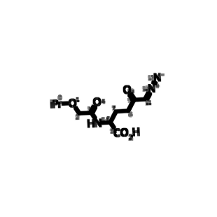 CC(C)OCC(=O)NC(CCC(=O)C=[N+]=[N-])C(=O)O